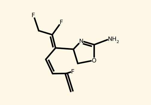 C=C(F)/C=C\C(=C(\F)CF)C1COC(N)=N1